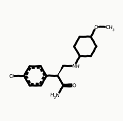 COC1CCC(NC[C@@H](C(N)=O)c2ccc(Cl)cc2)CC1